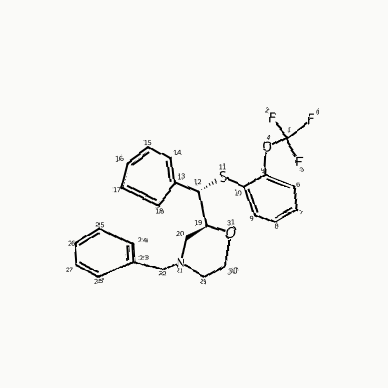 FC(F)(F)Oc1ccccc1S[C@@H](c1ccccc1)[C@@H]1CN(Cc2ccccc2)CCO1